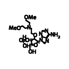 COCCN(CCOC)CCOC1[C@@H](O[PH](=O)O)[C@@H](CO)O[C@H]1n1cnc2c(N)ncnc21